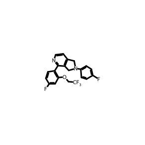 Fc1ccc(N2Cc3ccnc(-c4ccc(F)cc4OCC(F)(F)F)c3C2)cc1